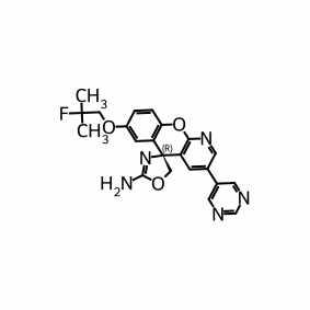 CC(C)(F)COc1ccc2c(c1)[C@]1(COC(N)=N1)c1cc(-c3cncnc3)cnc1O2